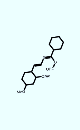 COC1CCC(/C=C/N=C(\OC=O)C2CCCCC2)C(OC)C1